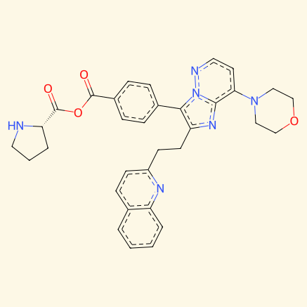 O=C(OC(=O)[C@@H]1CCCN1)c1ccc(-c2c(CCc3ccc4ccccc4n3)nc3c(N4CCOCC4)ccnn23)cc1